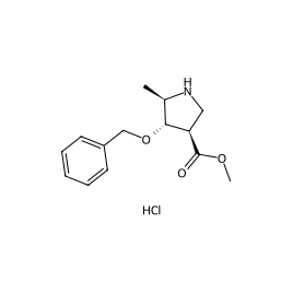 COC(=O)[C@@H]1CN[C@H](C)[C@H]1OCc1ccccc1.Cl